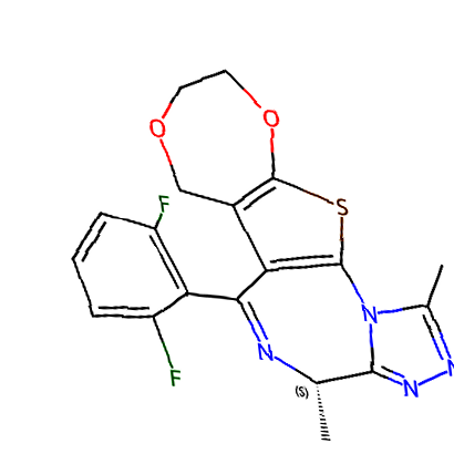 Cc1nnc2n1-c1sc3c(c1C(c1c(F)cccc1F)=N[C@H]2C)COCCO3